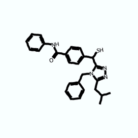 CC(C)Cc1nnc(C(S)c2ccc(C(=O)Nc3ccccc3)cc2)n1Cc1ccccc1